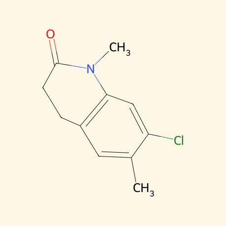 Cc1cc2c(cc1Cl)N(C)C(=O)CC2